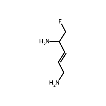 NCC=CC(N)CF